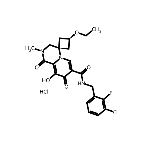 CCO[C@H]1C[C@@]2(CN(C)C(=O)c3c(O)c(=O)c(C(=O)NCc4cccc(Cl)c4F)cn32)C1.Cl